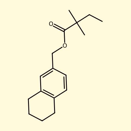 CCC(C)(C)C(=O)OCc1ccc2c(c1)CCCC2